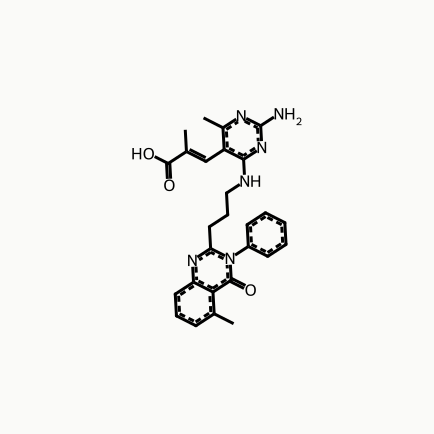 CC(=Cc1c(C)nc(N)nc1NCCCc1nc2cccc(C)c2c(=O)n1-c1ccccc1)C(=O)O